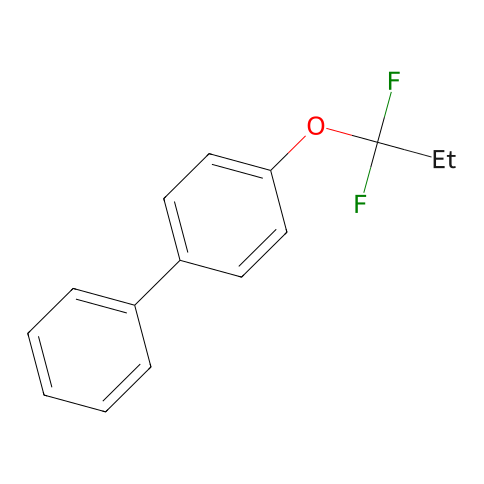 CCC(F)(F)Oc1ccc(-c2ccccc2)cc1